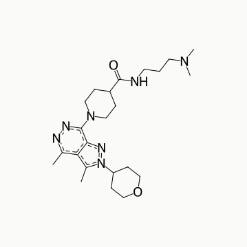 Cc1nnc(N2CCC(C(=O)NCCCN(C)C)CC2)c2nn(C3CCOCC3)c(C)c12